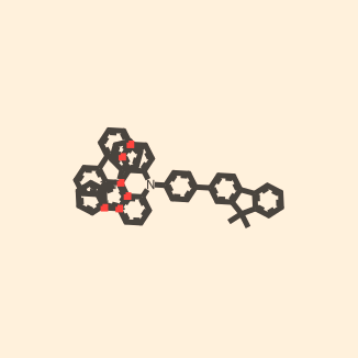 CC1(C)c2ccccc2-c2ccc(-c3ccc(N(c4ccccc4-c4cccc5cccc(-c6ccccc6)c45)c4cccc5c6ccccc6n(-c6ccccc6)c45)cc3)cc21